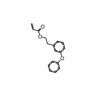 C=CC(=O)OCCc1cccc(Oc2ccccc2)c1